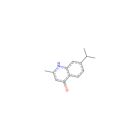 Cc1cc(=O)c2ccc(C(C)C)cc2[nH]1